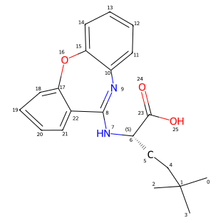 CC(C)(C)CC[C@H](NC1=Nc2ccccc2Oc2ccccc21)C(=O)O